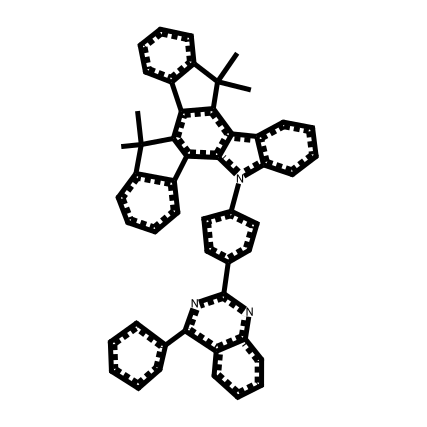 CC1(C)c2ccccc2-c2c1c1c(c3c4ccccc4n(-c4ccc(-c5nc(-c6ccccc6)c6ccccc6n5)cc4)c23)C(C)(C)c2ccccc2-1